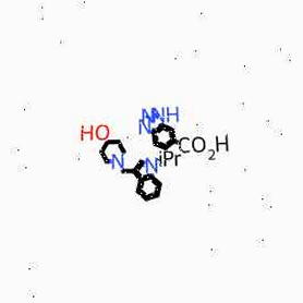 CC(C)n1cc(CN2CCC(O)CC2)c2ccccc21.O=C(O)c1ccc2nn[nH]c2c1